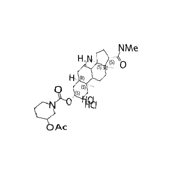 CNC(=O)[C@H]1CC[C@]2(N)C3CC[C@@H]4C[C@@H](OC(=O)N5CCCC(OC(C)=O)C5)CC[C@]4(C)C3CC[C@]12C.Cl.Cl